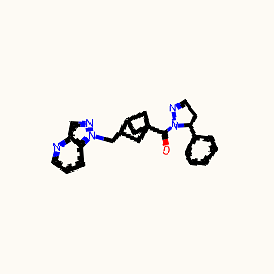 O=C(N1N=CCC1c1ccccc1)C12CC(Cn3ncc4ncccc43)C(C1)C2